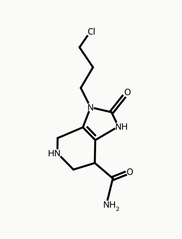 NC(=O)C1CNCc2c1[nH]c(=O)n2CCCCl